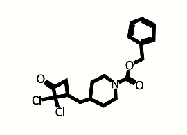 O=C(OCc1ccccc1)N1CCC(CC2CC(=O)C2(Cl)Cl)CC1